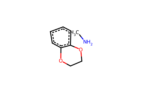 CN.c1ccc2c(c1)OCCO2